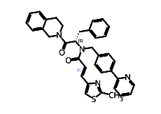 Cc1nc(/C=C/C(=O)N(Cc2ccc(-c3ccccn3)cc2)[C@@H](Cc2ccccc2)C(=O)N2CCc3ccccc3C2)cs1